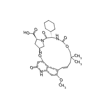 COc1cc2[nH]c(=O)cc3c2cc1/C=C/CC(C)(C)COC(=O)N[C@@H](C1CCCCC1)C(=O)N1C[C@@H](C[C@H]1C(=O)O)O3